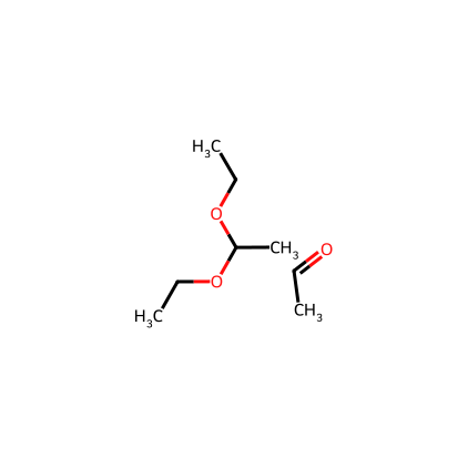 CC=O.CCOC(C)OCC